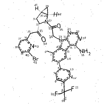 Cc1cc(-c2ccc(C(F)(F)F)nc2)cc2c3c(N)ncnc3n(CC(=O)N3[C@@H]4C[C@@H]4C[C@H]3C(=O)Cc3cccc(Br)n3)c12